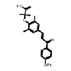 C=C(O)C(C)(C)Oc1c(C)cc(/C=C/C(=O)c2ccc(SC)cc2)cc1C